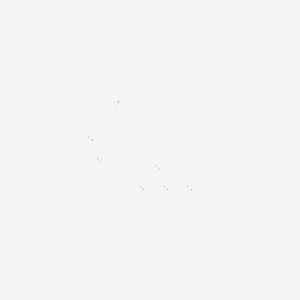 COC(=O)C(Cc1ccccc1)NC(=O)N[C@H]1CC[C@@H](Nc2nc3c(c(N(C)C)n2)CCCC3)CC1